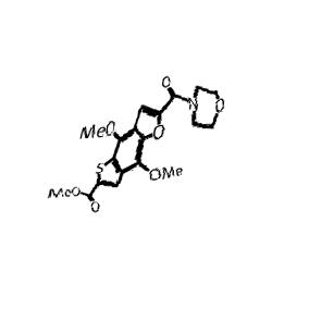 COC(=O)c1cc2c(OC)c3oc(C(=O)N4CCOCC4)cc3c(OC)c2s1